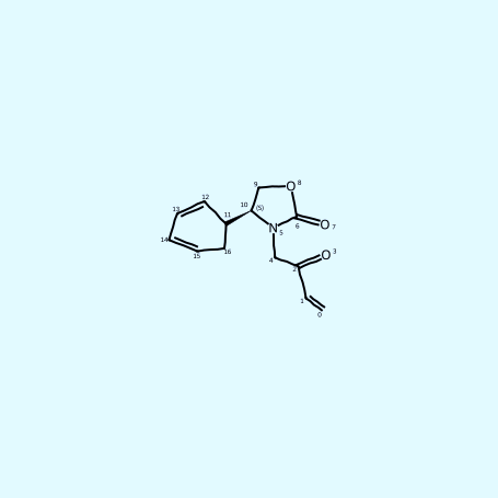 C=CC(=O)CN1C(=O)OC[C@@H]1C1C=CC=CC1